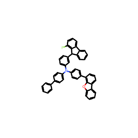 Fc1cccc2c1C(c1cccc(N(c3ccc(-c4ccccc4)cc3)c3ccc(-c4cccc5c4oc4ccccc45)cc3)c1)c1ccccc1-2